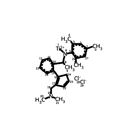 Cc1cc(C)c([N]([Ti+2])C(C)c2ccccc2C2=C(CN(C)C)C=CC2)c(C)c1.[Cl-].[Cl-]